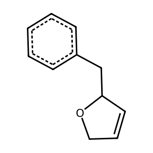 C1=CC(Cc2ccccc2)OC1